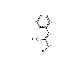 CCCCO/C(=C/c1ccccc1)C(=O)OCC